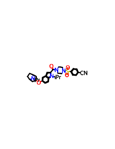 CC(C)N1C2CCC1CC(Oc1ccc3c(c1)cc(C(=O)N1CCN(S(=O)(=O)c4ccc(C#N)cc4)CC1)n3C(C)C)C2